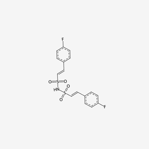 O=S(=O)(C=Cc1ccc(F)cc1)NS(=O)(=O)C=Cc1ccc(F)cc1